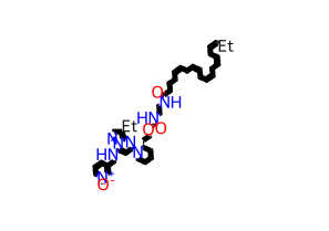 CC/C=C\C/C=C\C/C=C\C/C=C\C/C=C\CCCC(=O)NCCNC(=O)OCC[C@@H]1CCCCN1c1cc(NCc2ccc[n+]([O-])c2)n2ncc(CC)c2n1